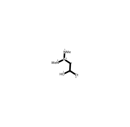 CCC(O)CN(NC)NC